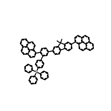 CC1(C)c2cc(-c3ccc(-c4ccc5ccc6cccc7ccc4c5c67)c(-c4ccc([Si](c5ccccc5)(c5ccccc5)c5ccccc5)cc4)c3)ccc2-c2ccc(-c3ccc4ccc5cccc6ccc3c4c56)cc21